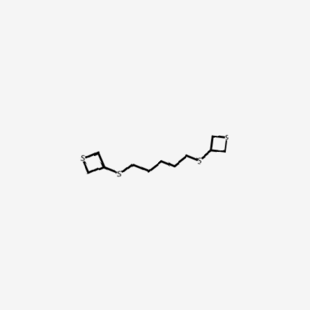 C(CCSC1CSC1)CCSC1CSC1